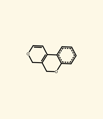 C1=CC2=C(CO1)COc1ccccc12